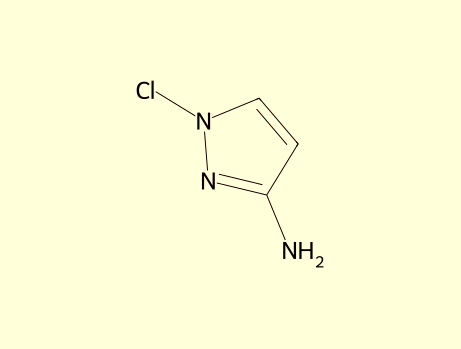 Nc1ccn(Cl)n1